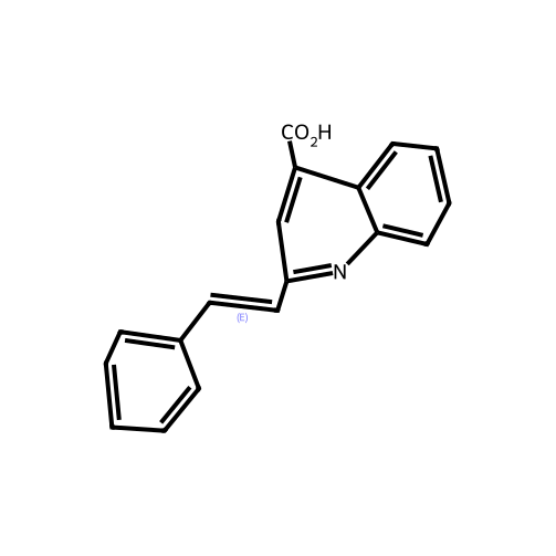 O=C(O)c1cc(/C=C/c2ccccc2)nc2ccccc12